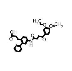 CCOc1ccc(C(=O)CCC(=O)Nc2ccc(CCC(=O)O)c(-c3ccccc3)c2)cc1OCC